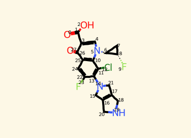 O=C(O)c1cn([C@@H]2C[C@@H]2F)c2c(Cl)c(N3CC4=C(CNC4)C3)c(F)cc2c1=O